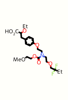 CCOC(Cc1ccc(OCCN(CCOCC(F)(F)CC)C(=O)OCCOC)cc1)C(=O)O